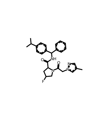 Cc1cnn(CC(=O)N2CC(F)CC2C(=O)NC(c2ccccc2)c2ccc(C(C)C)cc2)c1